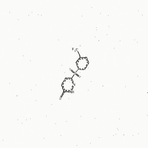 O=c1ccc(S(=O)(=O)c2cccc(C(F)(F)F)c2)n[nH]1